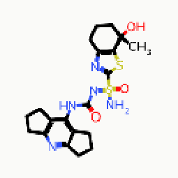 CC1(O)CCCc2nc(S(N)(=O)=NC(=O)Nc3c4c(nc5c3CCC5)CCC4)sc21